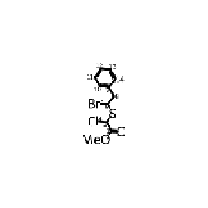 COC(=O)C(Cl)SC(Br)Cc1ccccc1